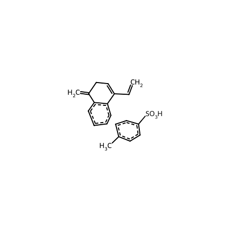 C=CC1=CCC(=C)c2ccccc21.Cc1ccc(S(=O)(=O)O)cc1